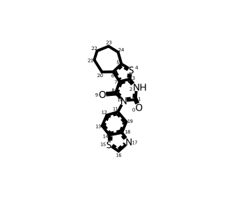 O=c1[nH]c2sc3c(c2c(=O)n1-c1ccc2scnc2c1)CCCCC3